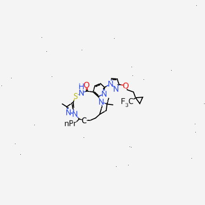 CCCC1CCCC2CN(c3nc(-n4ccc(OCCC5(C(F)(F)F)CC5)n4)ccc3C(=O)NSc3cn1nc3C)C(C)(C)C2